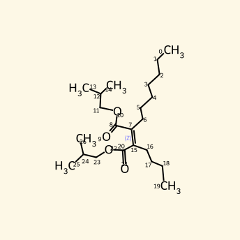 CCCCCCC/C(C(=O)OCC(C)C)=C(\CCCC)C(=O)OCC(C)C